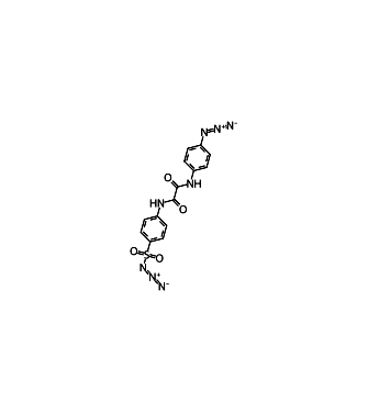 [N-]=[N+]=Nc1ccc(NC(=O)C(=O)Nc2ccc(S(=O)(=O)N=[N+]=[N-])cc2)cc1